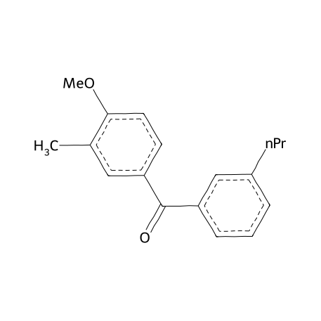 CCCc1cccc(C(=O)c2ccc(OC)c(C)c2)c1